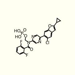 O=C(c1c(F)cccc1F)N(COP(=O)(O)O)c1cnc(-c2cc3oc(C4CC4)cc3cc2Cl)cn1